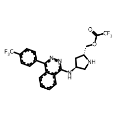 O=C(OC[C@H]1C[C@H](Nc2nnc(-c3ccc(C(F)(F)F)cc3)c3ccccc23)CN1)C(F)(F)F